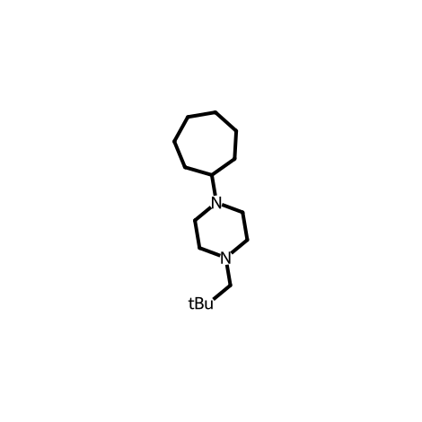 CC(C)(C)CN1CCN(C2CCCCCC2)CC1